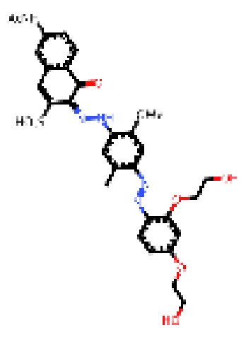 COc1cc(/N=N/c2ccc(OCCO)cc2OCCO)c(C)cc1N/N=C1\C(=O)c2ccc(NC(C)=O)cc2C=C1S(=O)(=O)O